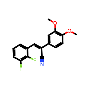 COc1ccc(C(C#N)=Cc2cccc(F)c2F)cc1OC